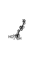 Cc1cccc(OCCCC(=O)N2CCCc3c(-c4cccc(COC(=O)NC(C)(CO)C(=O)O)c4)cccc32)c1C